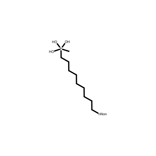 CCCCCCCCCCCCCCCCCCP(C)(O)(O)O